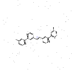 Cc1ccnc(-c2cc(/C=C/c3ccnc(-c4cc(C)ccn4)c3)ccn2)c1